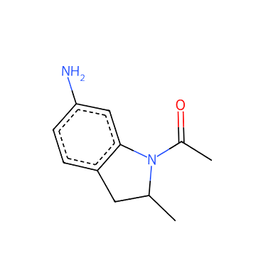 CC(=O)N1c2cc(N)ccc2CC1C